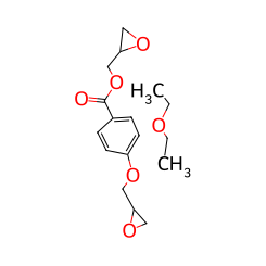 CCOCC.O=C(OCC1CO1)c1ccc(OCC2CO2)cc1